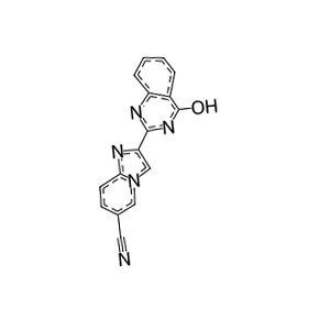 N#Cc1ccc2nc(-c3nc(O)c4ccccc4n3)cn2c1